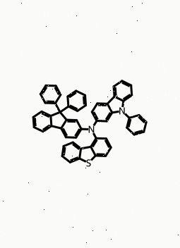 c1ccc(-n2c3ccccc3c3ccc(N(c4ccc5c(c4)C(c4ccccc4)(c4ccccc4)c4ccccc4-5)c4cccc5sc6ccccc6c45)cc32)cc1